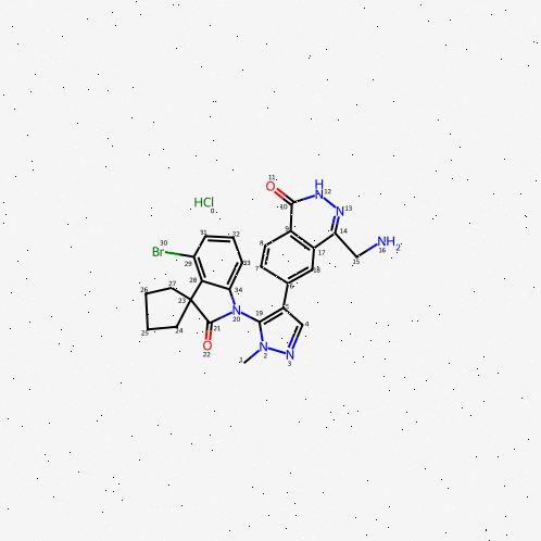 Cl.Cn1ncc(-c2ccc3c(=O)[nH]nc(CN)c3c2)c1N1C(=O)C2(CCCC2)c2c(Br)cccc21